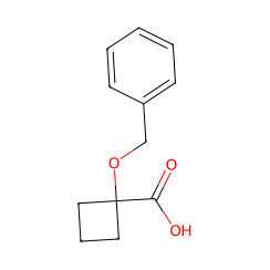 O=C(O)C1(OCc2ccccc2)CCC1